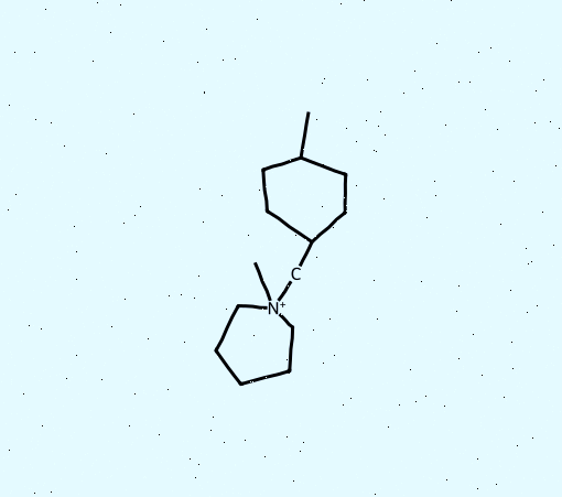 CC1CCC(C[N+]2(C)CCCCC2)CC1